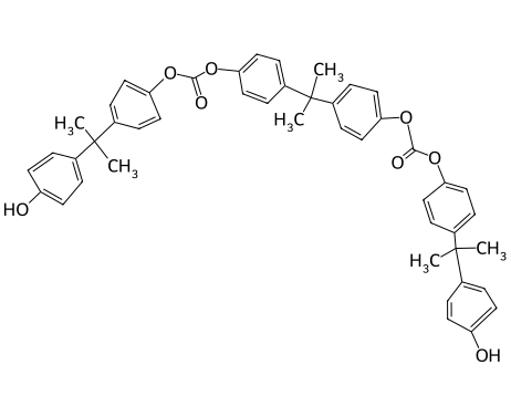 CC(C)(c1ccc(O)cc1)c1ccc(OC(=O)Oc2ccc(C(C)(C)c3ccc(OC(=O)Oc4ccc(C(C)(C)c5ccc(O)cc5)cc4)cc3)cc2)cc1